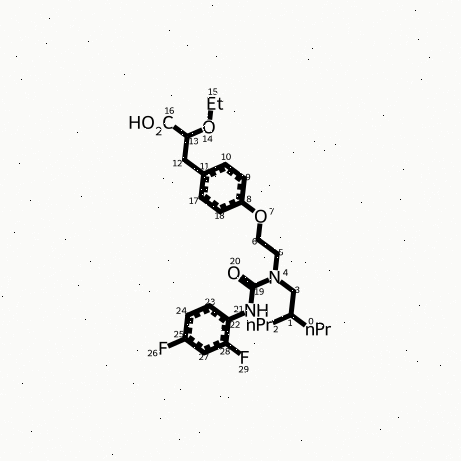 CCCC(CCC)CN(CCOc1ccc(CC(OCC)C(=O)O)cc1)C(=O)Nc1ccc(F)cc1F